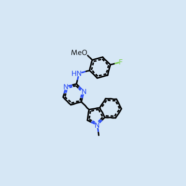 COc1cc(F)ccc1Nc1nccc(-c2cn(C)c3ccccc23)n1